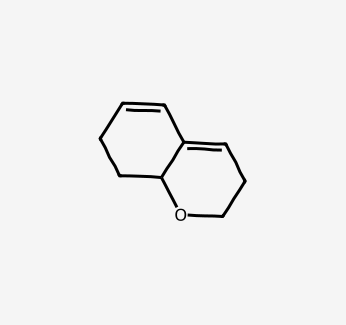 C1=CC2=CCCOC2CC1